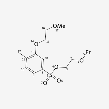 CCOCCOS(=O)(=O)c1ccc(C)c(OCCOC)c1